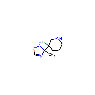 CC1(C2(F)CCCNC2)N=CON1